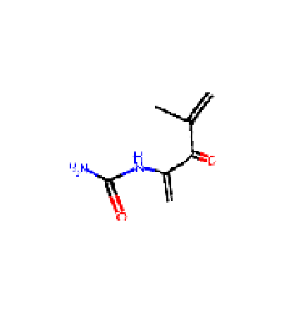 C=C(C)C(=O)C(=C)NC(N)=O